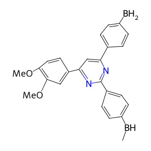 Bc1ccc(-c2cc(-c3ccc(OC)c(OC)c3)nc(-c3ccc(BC)cc3)n2)cc1